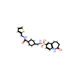 O=C1CCCc2cc(S(=O)(=O)NCC3CCC(C(=O)NCc4cccs4)CC3)ccc2N1